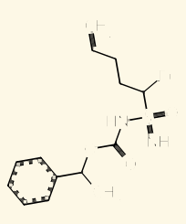 C=CCCC(CC)S(=N)(=O)NC(=O)OC(C)c1ccccc1